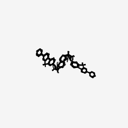 Cc1c(C)n(-c2ccc3c(c2)C(C)(C)c2cc(-c4ccccc4)ccc2-3)c2c1ccc1c2ccc2c(C)c(C)n(-c3ccc4c(c3)C(C)(C)c3cc(-c5ccccc5)ccc3-4)c21